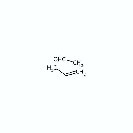 C=CC.CC=O